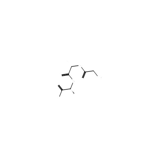 CC(C)[C@H](NC(=O)CC(C)(C)C)C(=O)N[C@@H](C)C(=O)C(C)(C)C